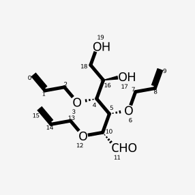 C=CCO[C@@H]([C@H](OCC=C)[C@H](C=O)OCC=C)[C@H](O)CO